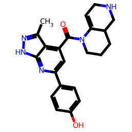 Cc1n[nH]c2nc(-c3ccc(O)cc3)cc(C(=O)N3CCCC4CNCC=C43)c12